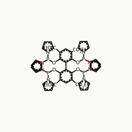 CCOC(=O)c1cc(C(=O)OCC)c(OP(n2cccc2)n2cccc2)c(-c2c(OP(n3cccc3)n3cccc3)c(C(=O)OCC)cc(C(=O)OCC)c2OP(n2cccc2)n2cccc2)c1OP(n1cccc1)n1cccc1